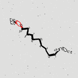 CCCCCCCC/C=C\CCCCCCCCOCC